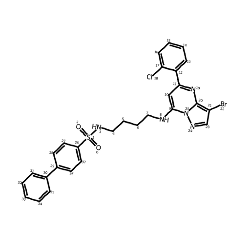 O=S(=O)(NCCCCNc1cc(-c2ccccc2Cl)nc2c(Br)cnn12)c1ccc(-c2ccccc2)cc1